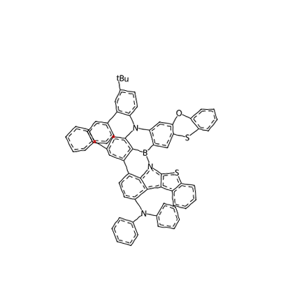 CC(C)(C)c1ccc(N2c3cc4c(cc3B3c5c(cc(-c6ccccc6)cc52)-c2ccc(N(c5ccccc5)c5ccccc5)c5c6c7ccccc7sc6n3c25)Sc2ccccc2O4)c(-c2ccccc2)c1